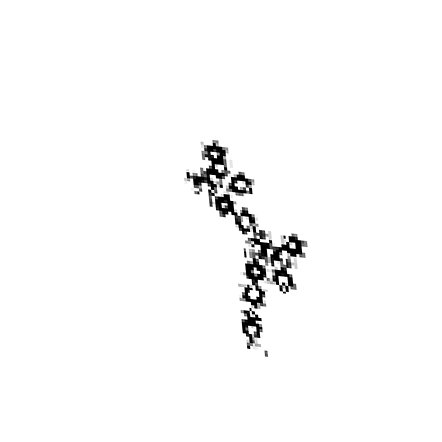 CN1CCC2(CC1)CN(C1CCN(c3ccc(Nc4nc(NC5CCOCC5)c(-c5ccccn5)nc4C(=O)NN4CCN(c5ccc(Nc6nc(NC7CCOCC7)c(-c7ccccn7)nc6C(N)=O)cc5)CC4)cc3)CC1)C2